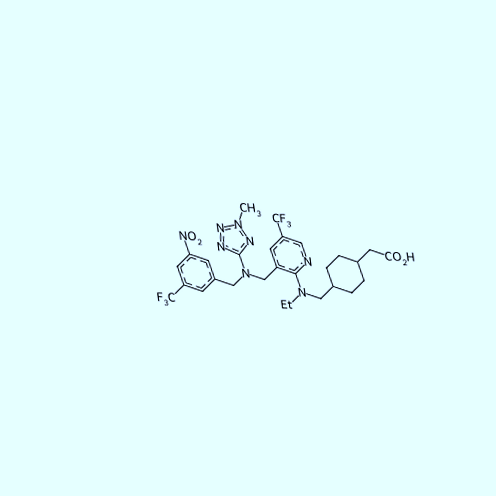 CCN(CC1CCC(CC(=O)O)CC1)c1ncc(C(F)(F)F)cc1CN(Cc1cc([N+](=O)[O-])cc(C(F)(F)F)c1)c1nnn(C)n1